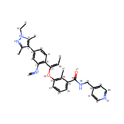 C=Nc1cc(-c2c(C)nn(CC)c2C)ccc1/C(=C\C)Oc1cccc(C(=O)NCc2ccncc2)c1C